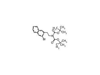 CC(C)(C)OC(=O)N(CCc1cc2ccccc2cc1Br)C(=O)OC(C)(C)C